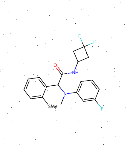 CSc1ccccc1C(C(=O)NC1CC(F)(F)C1)N(C)c1cccc(F)c1